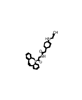 C#CCNC1CCC(CC(=O)NCC(=O)N2Cc3ccccc3C#Cc3ccccc32)CC1